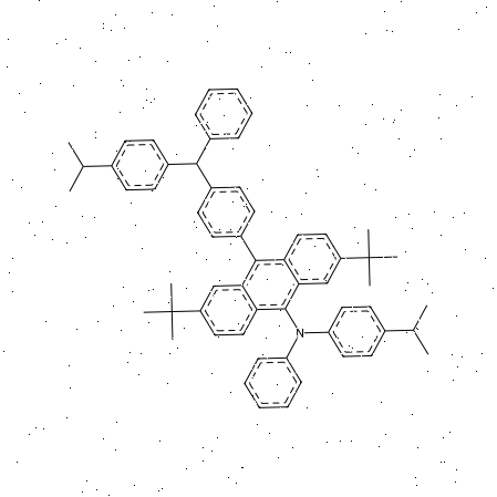 CC(C)c1ccc(C(c2ccccc2)c2ccc(-c3c4cc(C(C)(C)C)ccc4c(N(c4ccccc4)c4ccc(C(C)C)cc4)c4cc(C(C)(C)C)ccc34)cc2)cc1